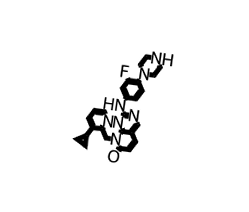 O=c1ccc2cnc(Nc3ccc(N4CCNCC4)c(F)c3)nc2n1Cc1ncccc1C1CC1